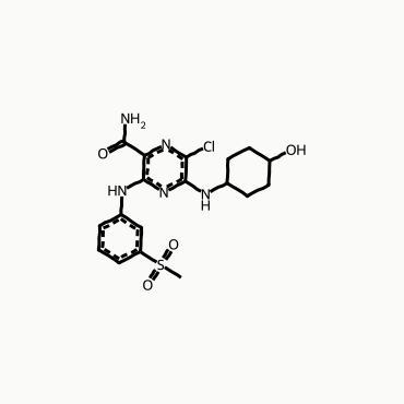 CS(=O)(=O)c1cccc(Nc2nc(NC3CCC(O)CC3)c(Cl)nc2C(N)=O)c1